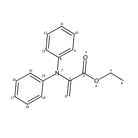 C=C(C(=O)OCC)N(c1ccccc1)c1ccccc1